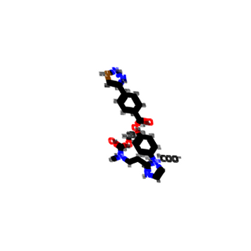 CN(CCC1=NC=C[N+]1(C(=O)[O-])c1ccc(OC(=O)c2ccc(-c3csnn3)cc2)cc1)C(=O)OC(C)(C)C